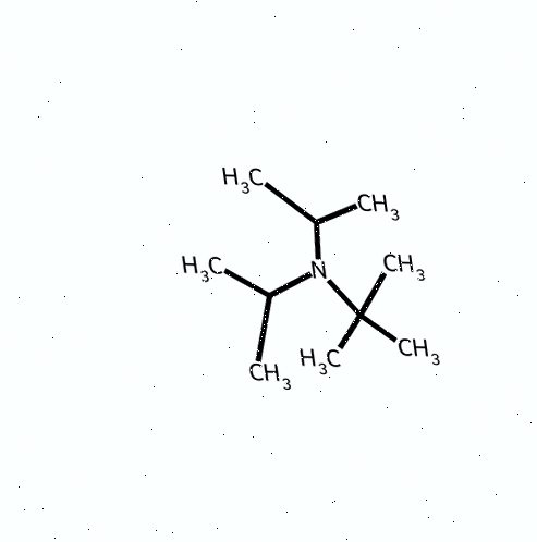 CC(C)N(C(C)C)C(C)(C)C